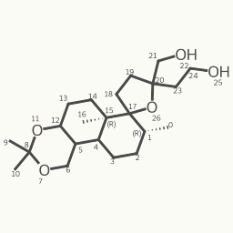 C[C@@H]1CCC2C3COC(C)(C)OC3CC[C@@]2(C)C12CCC(CO)(CCO)O2